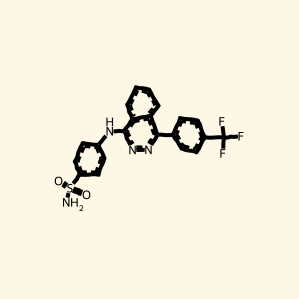 NS(=O)(=O)c1ccc(Nc2nnc(-c3ccc(C(F)(F)F)cc3)c3ccccc23)cc1